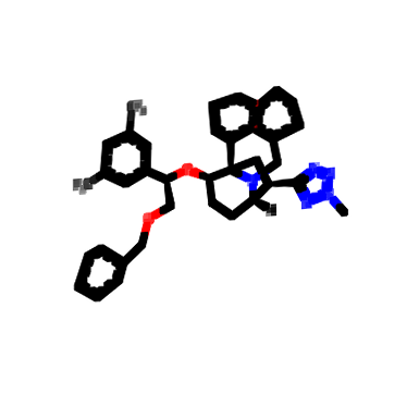 Cn1nnc([C@@H]2C[C@@]3(c4ccccc4)[C@H](O[C@@H](COCc4ccccc4)c4cc(C(F)(F)F)cc(C(F)(F)F)c4)CC[C@@H]2N3Cc2ccccc2)n1